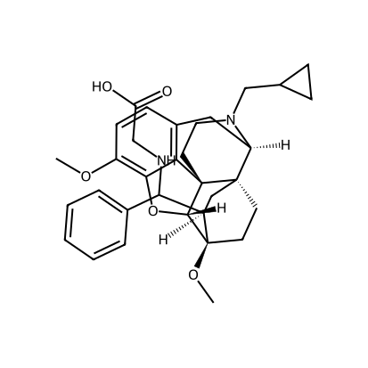 COc1ccc2c3c1O[C@H]1[C@@]4(OC)CC[C@@]5(C[C@@H]4C(NCC(=O)O)c4ccccc4)[C@@H](C2)N(CC2CC2)CC[C@]315